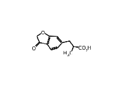 C[C@@H](Cc1ccc2c(c1)OCC2=O)C(=O)O